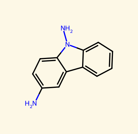 Nc1ccc2c(c1)c1ccccc1n2N